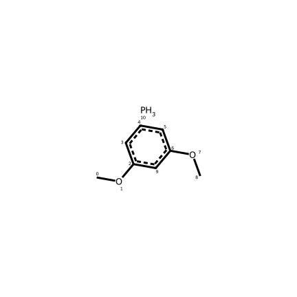 COc1cccc(OC)c1.P